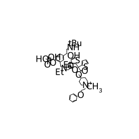 CC[N+](CC)(CC(=O)OC(C(=O)OC1CC[N+](C)(CCOc2ccccc2)CC1)(c1cccs1)c1cccs1)Cc1cc(C(O)CNC(C)(C)C)ccc1OP(=O)(O)O